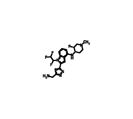 CN1CC[C@@H](Nc2cccc3c2cc(-c2nnc(CN)s2)n3C(F)C(F)F)[C@@H](F)C1